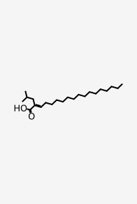 CCCCCCCCCCCCCCC/C=C(\CC(C)C)C(=O)O